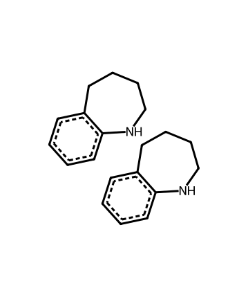 c1ccc2c(c1)CCCCN2.c1ccc2c(c1)CCCCN2